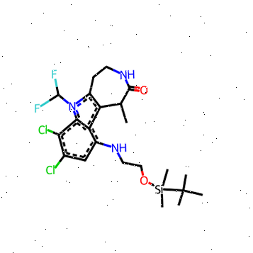 CC1C(=O)NCCc2c1c1c(NCCO[Si](C)(C)C(C)(C)C)cc(Cl)c(Cl)c1n2C(F)F